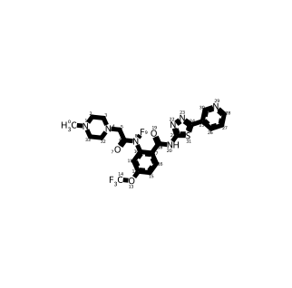 CN1CCN(CC(=O)N(F)c2cc(OC(F)(F)F)ccc2C(=O)Nc2nnc(-c3cccnc3)s2)CC1